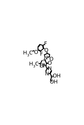 CCOc1ccc(F)c(OC2CC(=O)N([C@@H](CC(C)C)C(=O)Nc3cnc([C@H](O)CO)cn3)C2)c1F